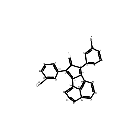 O=C1C(c2cccc(Br)c2)=C2C(=C1c1cccc(Br)c1)c1cccc3cccc2c13